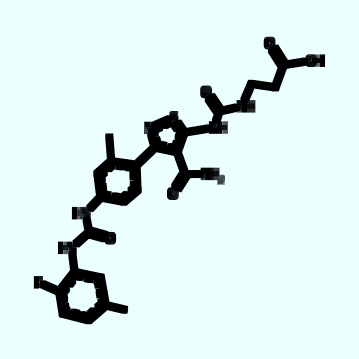 Cc1ccc(F)c(NC(=O)Nc2ccc(-c3nsc(NC(=O)NCCC(=O)O)c3C(N)=O)c(C)c2)c1